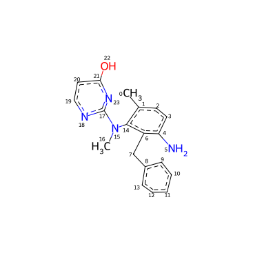 Cc1ccc(N)c(Cc2ccccc2)c1N(C)c1nccc(O)n1